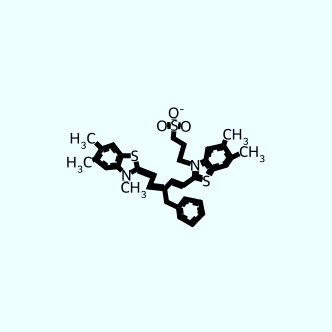 Cc1cc2c(cc1C)N(C)C(=CC=C(C=Cc1sc3cc(C)c(C)cc3[n+]1CCCS(=O)(=O)[O-])Cc1ccccc1)S2